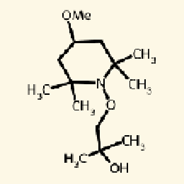 COC1CC(C)(C)N(OCC(C)(C)O)C(C)(C)C1